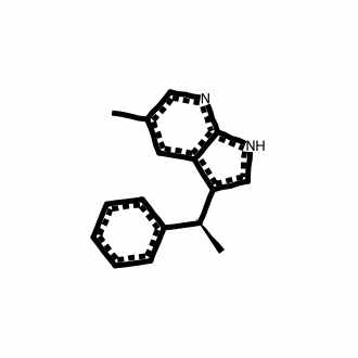 Cc1cnc2[nH]cc([C@@H](C)c3ccccc3)c2c1